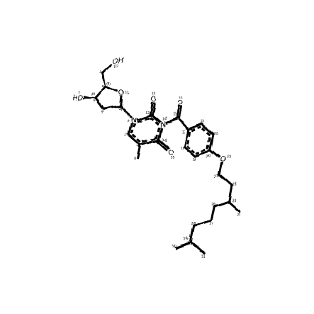 Cc1cn(C2C[C@@H](O)[C@@H](CO)O2)c(=O)n(C(=O)c2ccc(OCCC(C)CCCC(C)C)cc2)c1=O